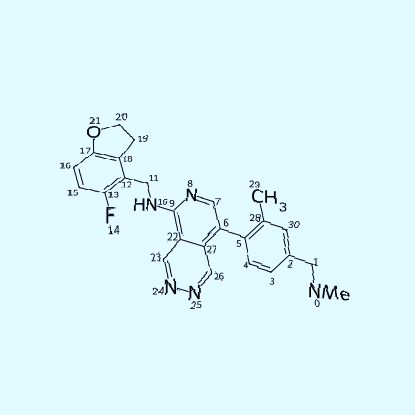 CNCc1ccc(-c2cnc(NCc3c(F)ccc4c3CCO4)c3cnncc23)c(C)c1